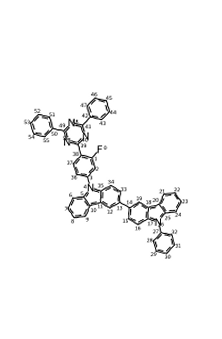 Fc1cc(-n2c3ccccc3c3cc(-c4ccc5c(c4)c4ccccc4n5-c4ccccc4)ccc32)ccc1-c1nc(-c2ccccc2)nc(-c2ccccc2)n1